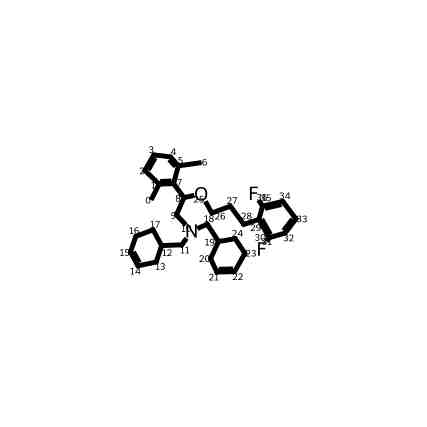 Cc1cccc(C)c1C(CN(CC1CC=CCC1)CC1CC=CCC1)OCCCc1c(F)cccc1F